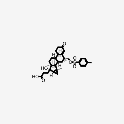 Cc1ccc(S(=O)(=O)OC[C@@H]2C[C@@H]3[C@H](CC[C@@]4(C)[C@H]3[C@H]3C[C@H]3[C@@]4(O)CCC(=O)O)[C@H]3CCC(=O)C=C23)cc1